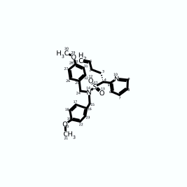 C=CCC[C@H](c1ccccn1)S(=O)(=O)N(Cc1ccc(OC)cc1)Cc1ccc(OC)cc1